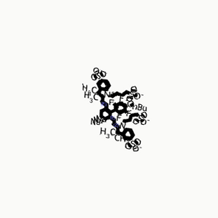 CCCCOc1c(F)c(F)c(C2=C(/C=C/C3=[N+](CCCCS(=O)(=O)[O-])c4ccc(S(=O)(=O)[O-])cc4C3(C)C)CCC/C2=C\C=C2/N(CCCCS(=O)(=O)[O-])c3ccc(S(=O)(=O)[O-])cc3C2(C)C)c(F)c1F.[Na+].[Na+].[Na+]